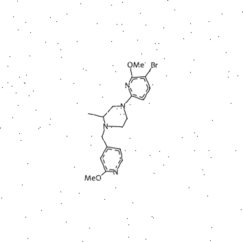 COc1cc(CN2CCN(c3ccc(Br)c(OC)n3)CC2C)ccn1